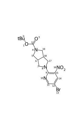 CC(C)(C)OC(=O)N1CC2CN(c3ncc(Br)cc3[N+](=O)[O-])CC2C1